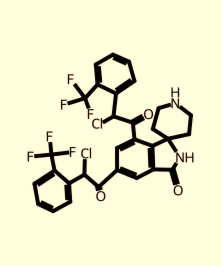 O=C1NC2(CCNCC2)c2c1cc(C(=O)C(Cl)c1ccccc1C(F)(F)F)cc2C(=O)C(Cl)c1ccccc1C(F)(F)F